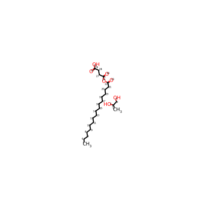 CC(O)CO.CCCCCCCCCCCCCCCCCC(=O)OC(=O)CCC(=O)O